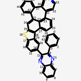 c1ccc(-c2nc3ccccc3nc2-c2ccc3sc4cc5c6c(cccc6c4c3c2)-c2ccncc2-c2ccccc2-5)cc1